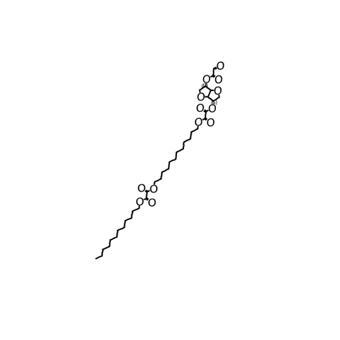 CCCCCCCCCCCCOC(=O)C(=O)OCCCCCCCCCCCCOC(=O)C(=O)O[C@H]1COC2C1OC[C@H]2OC(=O)C=O